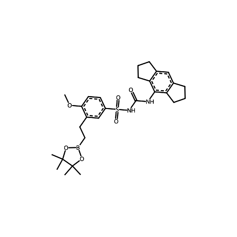 COc1ccc(S(=O)(=O)NC(=O)Nc2c3c(cc4c2CCC4)CCC3)cc1CCB1OC(C)(C)C(C)(C)O1